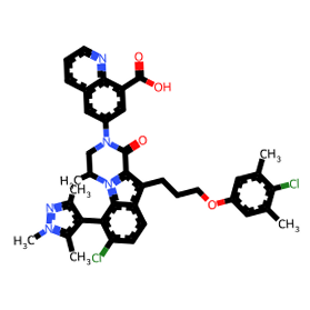 Cc1cc(OCCCc2c3n(c4c(-c5c(C)nn(C)c5C)c(Cl)ccc24)C(C)CN(c2cc(C(=O)O)c4ncccc4c2)C3=O)cc(C)c1Cl